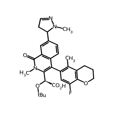 Cc1c(-c2c([C@H](OC(C)(C)C)C(=O)O)n(C)c(=O)c3cc(C4CC=NN4C)ccc23)cc(F)c2c1CCCO2